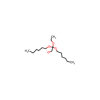 CCCCCCOC(C[O])(OCC)OCCCCCC